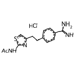 CC(=O)Nc1nc(CCc2ccc(C(=N)N)cc2)cs1.Cl